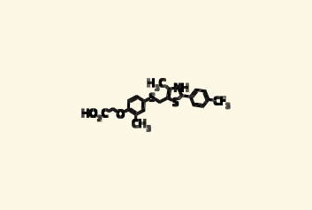 CC1=C(CSc2ccc(OCC(=O)O)c(C)c2)SC(c2ccc(C(F)(F)F)cc2)N1